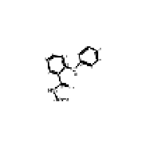 CCCCCNC(=O)c1cccnc1Oc1ccccc1